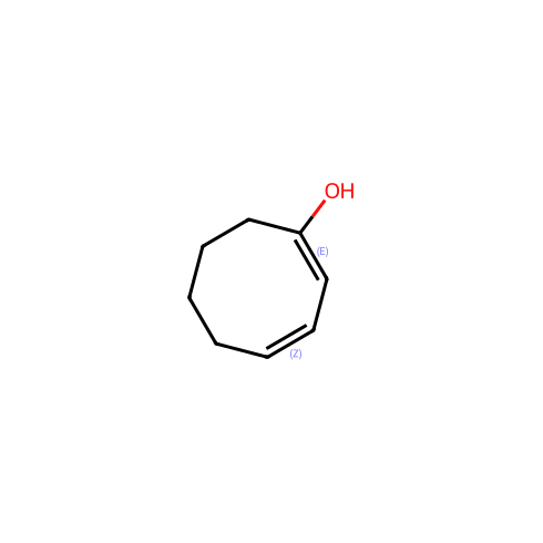 O/C1=C/C=C\CCCC1